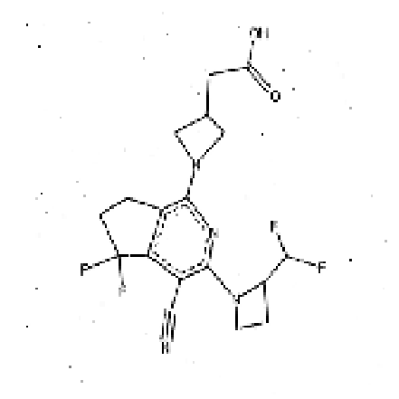 N#Cc1c(N2CCC2C(F)F)nc(N2CC(CC(=O)O)C2)c2c1C(F)(F)CC2